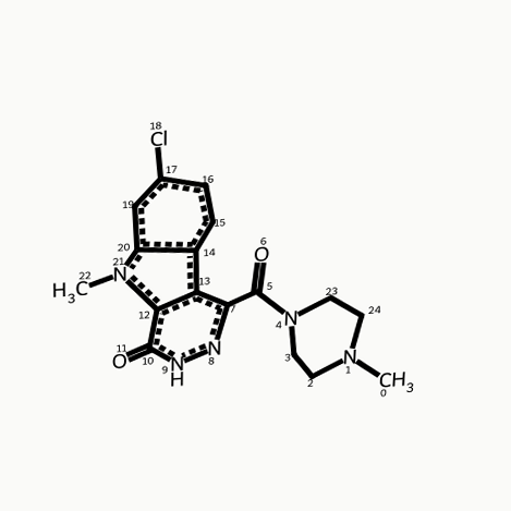 CN1CCN(C(=O)c2n[nH]c(=O)c3c2c2ccc(Cl)cc2n3C)CC1